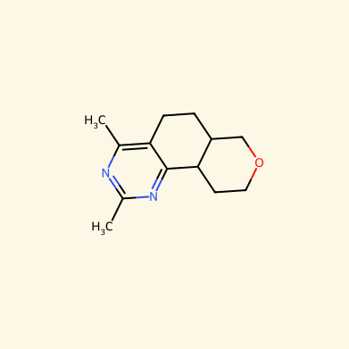 Cc1nc(C)c2c(n1)C1CCOCC1CC2